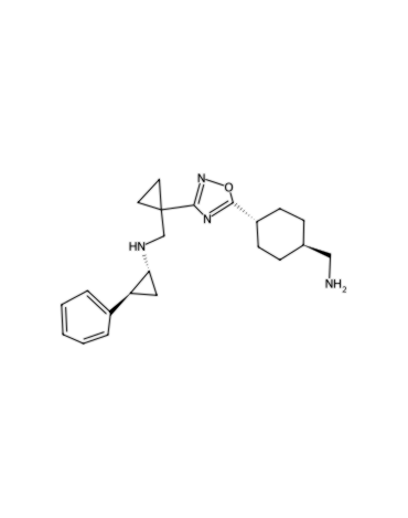 NC[C@H]1CC[C@H](c2nc(C3(CN[C@@H]4C[C@H]4c4ccccc4)CC3)no2)CC1